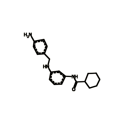 Nc1ccc(CNc2cccc(NC(=O)C3CCCCC3)c2)cc1